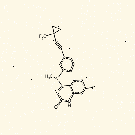 CN(c1cccc(C#CC2(C(F)(F)F)CC2)c1)c1nc(=O)[nH]c2cc(Cl)ccc12